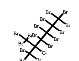 [O]C(C(Br)(Br)Br)(C(Br)(Br)Br)C(Br)(Br)C(Br)(Br)C(Br)(Br)C(Br)(Br)Br